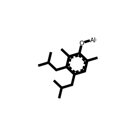 Cc1cc(CC(C)C)c(CC(C)C)c(C)c1[O][Al]